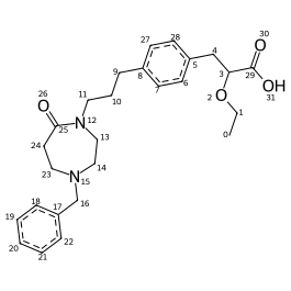 CCOC(Cc1ccc(CCCN2CCN(Cc3ccccc3)CCC2=O)cc1)C(=O)O